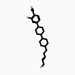 N#Cc1ccc(C2CCC(C3CCC(CCC=CCF)CC3)CC2)cc1F